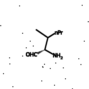 CCCC(C)[C@H](N)C=O